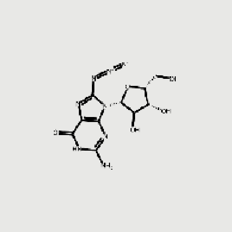 [N-]=[N+]=Nc1nc2c(=O)[nH]c(N)nc2n1[C@@H]1O[C@H](CO)[C@H](O)C1O